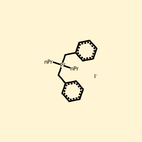 CCC[P+](CCC)(Cc1ccccc1)Cc1ccccc1.[I-]